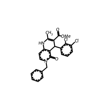 COC(=O)C1=C(C)Nc2ccn(Cc3ccccc3)c(=O)c2C1c1cccc(Cl)c1Cl